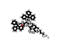 COCCOCC1=C(C(=O)O)N2C(=O)C(NC(=O)/C(=N\OC(c3ccccc3)(c3ccccc3)c3ccccc3)c3csc(NC(c4ccccc4)(c4ccccc4)c4ccccc4)n3)[C@@H]2SC1